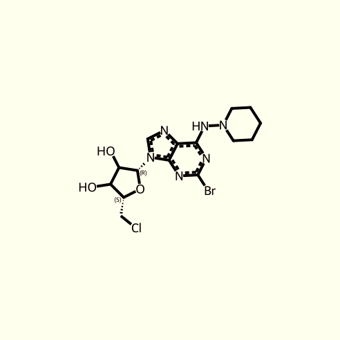 OC1C(O)[C@@H](CCl)O[C@H]1n1cnc2c(NN3CCCCC3)nc(Br)nc21